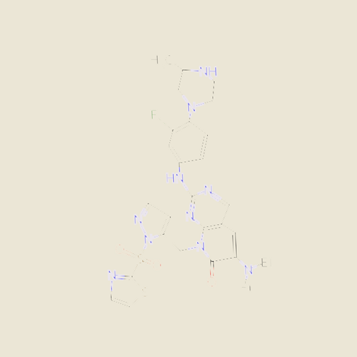 CCN(CC)c1cc2cnc(Nc3ccc(N4CCNC(C)C4)c(F)c3)nc2n(Cc2ccnn2S(=O)(=O)c2nccs2)c1=O